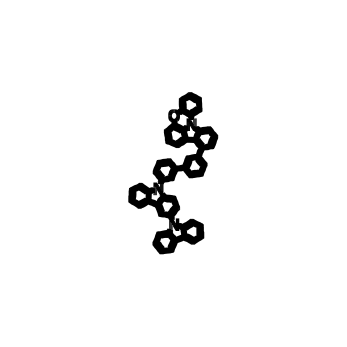 c1cc(-c2cccc(-n3c4ccccc4c4cc(-n5c6ccccc6c6ccccc65)ccc43)c2)cc(-c2cccc3c2c2cccc4c2n3-c2ccccc2O4)c1